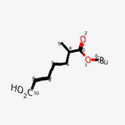 CCC(C)OC(=O)C(C)CCCCC(=O)O